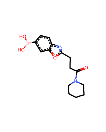 O=C(CCc1nc2ccc(B(O)O)cc2o1)N1CCCCC1